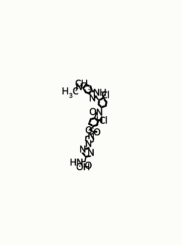 CN(C)c1ccc2[nH]c(-c3cc(NC(=O)c4ccc(S(=O)(=O)N5CCN(c6ncc(C(=O)NO)cn6)CC5)cc4Cl)ccc3Cl)nc2c1